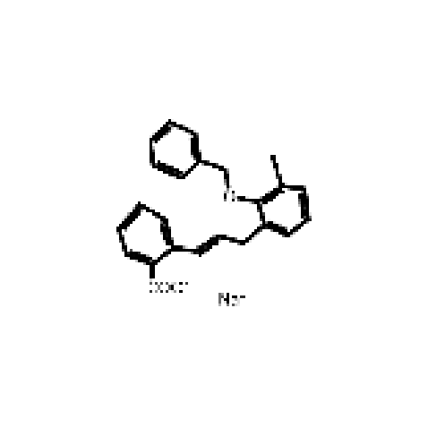 Cc1cccc(CC=Cc2ccccc2C(=O)[O-])c1OCc1ccccc1.[Na+]